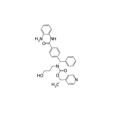 C[C@H](OC(=O)N(CCCO)[C@@H](c1ccccc1)c1ccc(C(=O)Nc2ccccc2N)cc1)c1ccncc1